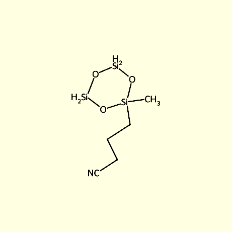 C[Si]1(CCCC#N)O[SiH2]O[SiH2]O1